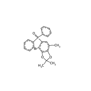 Cc1cc(P(=O)(c2ccccc2)c2ccccc2)c(Br)c2c1OC(C)(C)O2